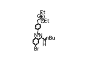 CCCCNc1nc(-c2ccc(CP(=O)(OCC)OCC)cc2)nc2ccc(Br)cc12